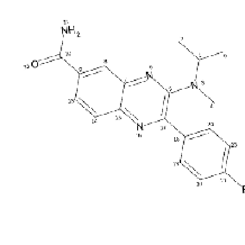 CC(C)N(C)c1nc2cc(C(N)=O)ccc2nc1-c1ccc(F)cc1